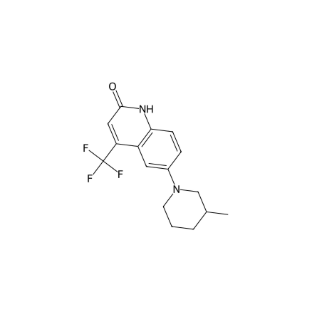 CC1CCCN(c2ccc3[nH]c(=O)cc(C(F)(F)F)c3c2)C1